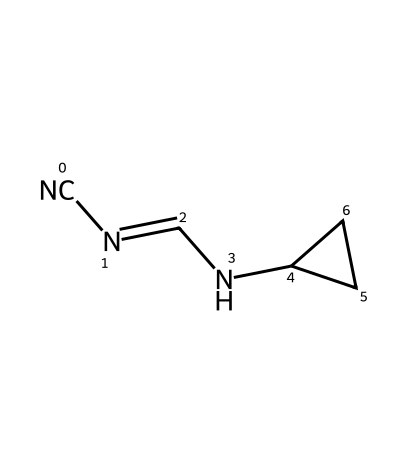 N#CN=CNC1CC1